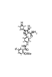 COc1ccc(F)cc1C(=O)NCc1ccc(-c2nn(C3CCNC3)c(N)c2C(N)=O)cc1